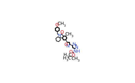 COc1ccc(CN2C(=O)c3c(C)cc(-c4cc(-c5cc(NC(=O)OC(C)(C)C)ncn5)no4)cc3C23CCCCC3)cc1